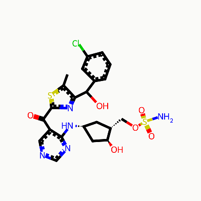 Cc1sc(C(=O)c2cncnc2N[C@@H]2C[C@H](COS(N)(=O)=O)[C@@H](O)C2)nc1C(O)c1cccc(Cl)c1